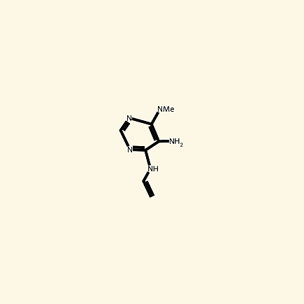 C=CNc1ncnc(NC)c1N